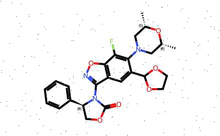 C[C@@H]1CN(c2c(C3OCCO3)cc3c(N4C(=O)OC[C@H]4c4ccccc4)noc3c2F)C[C@H](C)O1